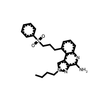 CCCCn1cc2c(n1)c(N)nc1cccc(CCCS(=O)(=O)c3ccccc3)c12